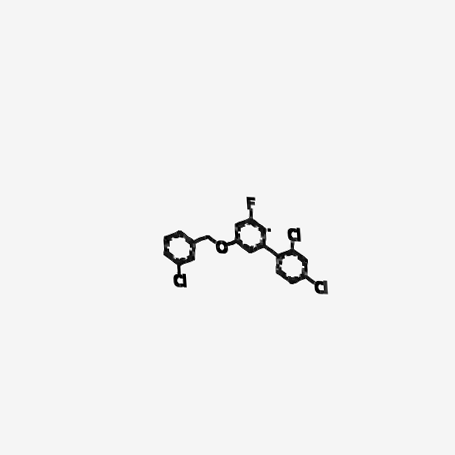 Fc1[c]c(-c2ccc(Cl)cc2Cl)cc(OCc2cccc(Cl)c2)c1